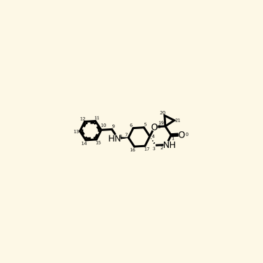 O=C1NC[C@]2(CC[C@H](NCc3ccccc3)CC2)OC12CC2